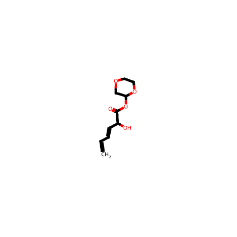 C=CC=CC(O)C(=O)OC1COCCO1